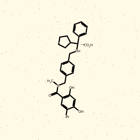 CC(C)c1cc(C(=O)N(C)Cc2ccc(CN[C@](C(=O)O)(c3ccccc3)C3CCCC3)cc2)c(O)cc1O